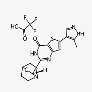 Cc1[nH]ncc1-c1cc2nc([C@H]3CC4CCN3CC4)[nH]c(=O)c2s1.O=C(O)C(F)(F)F